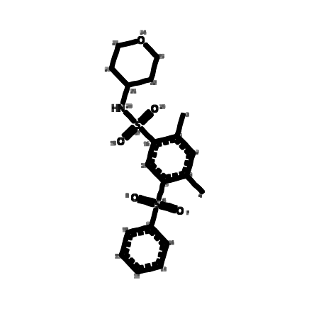 Cc1cc(C)c(S(=O)(=O)c2ccccc2)cc1S(=O)(=O)NC1CCOCC1